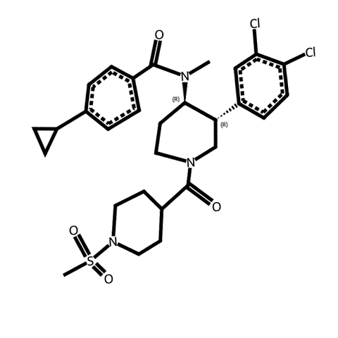 CN(C(=O)c1ccc(C2CC2)cc1)[C@@H]1CCN(C(=O)C2CCN(S(C)(=O)=O)CC2)C[C@H]1c1ccc(Cl)c(Cl)c1